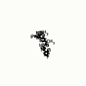 CC(C(=O)Nc1cc(-c2ccc(F)cc2Cl)no1)c1ccc(-c2nn(C(C)C)c(N)c2C(N)=O)nc1